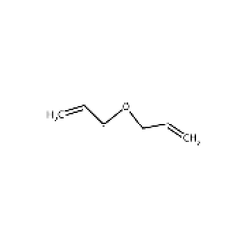 C=C[CH]OCC=C